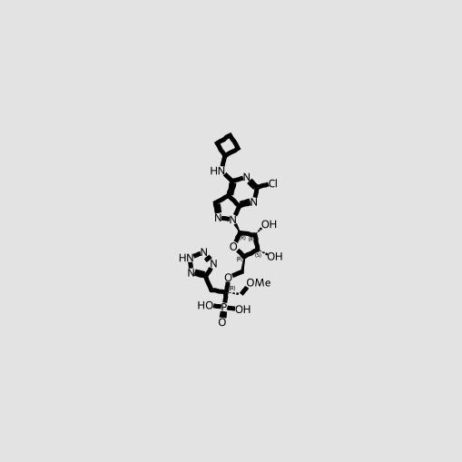 COC[C@](Cc1nn[nH]n1)(OC[C@H]1O[C@@H](n2ncc3c(NC4CCC4)nc(Cl)nc32)[C@H](O)[C@@H]1O)P(=O)(O)O